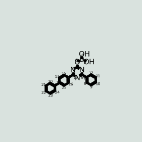 OB(O)Oc1nc(-c2ccccc2)nc(-c2ccc(-c3ccccc3)cc2)n1